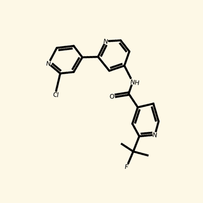 CC(C)(F)c1cc(C(=O)Nc2ccnc(-c3ccnc(Cl)c3)c2)ccn1